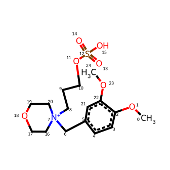 COc1ccc(C[N+]2(CCCOS(=O)(=O)O)CCOCC2)cc1OC